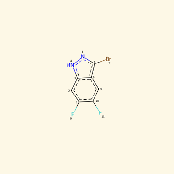 Fc1cc2[nH]nc(Br)c2cc1F